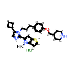 Cl.Cn1c(-c2ncc(C3CCC3)n2CCCc2ccc(OCC3CCNCC3)cc2)cc2sccc21